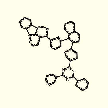 c1ccc(-c2nc(-c3ccccc3)nc(-c3ccc(-c4ccc5ccccc5c4-c4cccc(-c5ccc6c7c(cccc57)-c5ccccc5-6)c4)cc3)n2)cc1